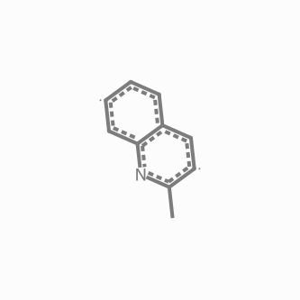 Cc1[c]cc2cc[c]cc2n1